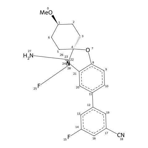 CO[C@H]1CC[C@]2(CC1)Oc1ccc(-c3cc(F)cc(C#N)c3)cc1C21C=C(F)C(N)=N1